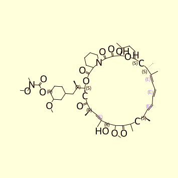 COC1C(=O)C(C)C[C@H](C)/C=C/C=C/C=C(\C)[C@@H](C)C[C@@H]2CCC(C)C(O)(O2)C(=O)C(=O)N2CCCCC2C(=O)O[C@H]([C@H](C)CC2CC[C@@H](OC(=O)N(C)OC)C(OC)C2)CC(=O)[C@H](C)/C=C(\C)[C@H]1O